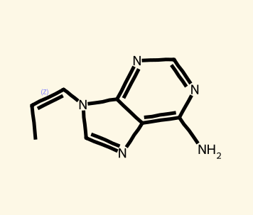 C/C=C\n1cnc2c(N)ncnc21